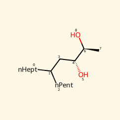 CCCCCCCC(CCCCC)C[C@@H](O)[C@H](C)O